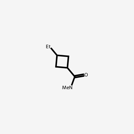 CCC1CC(C(=O)NC)C1